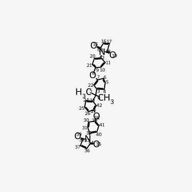 CC(C)(c1cccc(Oc2ccc(N3C(=O)C=CC3=O)cc2)c1)c1cccc(Oc2ccc(N3C(=O)C=CC3=O)cc2)c1